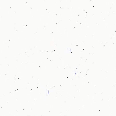 CN1CCc2c(ncnc2OC2CCC2)C1